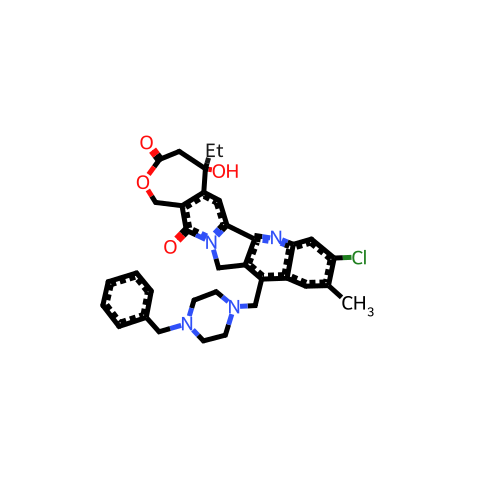 CCC1(O)CC(=O)OCc2c1cc1n(c2=O)Cc2c-1nc1cc(Cl)c(C)cc1c2CN1CCN(Cc2ccccc2)CC1